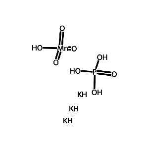 O=P(O)(O)O.[KH].[KH].[KH].[O]=[Mn](=[O])(=[O])[OH]